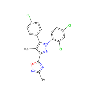 Cc1c(-c2nc(C(C)C)no2)nn(-c2ccc(Cl)cc2Cl)c1-c1ccc(Cl)cc1